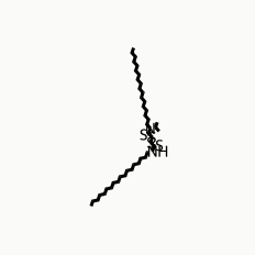 CCCCCCCCCCCCCCCCCCNC(=S)SSC(=S)N(CCCCCCCCCCCCCCCCCC)C(C)C